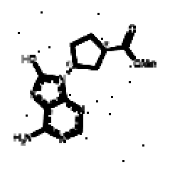 COC(=O)[C@@H]1CC[C@@H](n2c(O)nc3c(N)ncnc32)C1